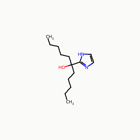 CCCCCC(O)(CCCCC)c1ncc[nH]1